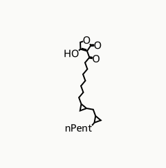 CCCCCC1CC1CC1CC1CCCCCCCC(=O)C1=C(O)COC1=O